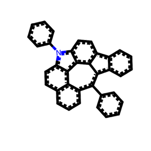 c1ccc(-c2c3c4ccccc4c4ccc5c(c4-3)c3c4c(cccc24)ccc3n5-c2ccccc2)cc1